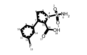 NS(=O)(=O)n1ccc(-c2cccc(F)c2)c1C(=O)O